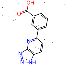 O=C(O)c1cccc(-c2ccc3[nH]nnc3n2)c1